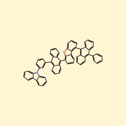 c1ccc(-c2c3ccccc3c(-c3cccc4oc5c(-c6c7ccccc7c(-c7cccc(-n8c9ccccc9c9ccccc98)c7)c7ccccc67)cccc5c34)c3ccccc23)cc1